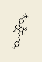 COC(=O)C(=O)N(CCCCc1ccc(Cl)cc1)c1cc(-c2ccc(OC(F)(F)F)cc2)ccc1OC